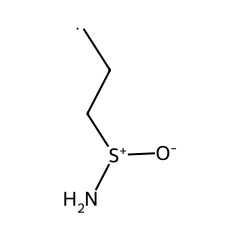 [CH2]CC[S+](N)[O-]